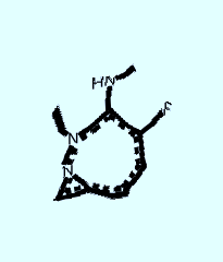 CNc1c(F)ccc2cn-2n1C